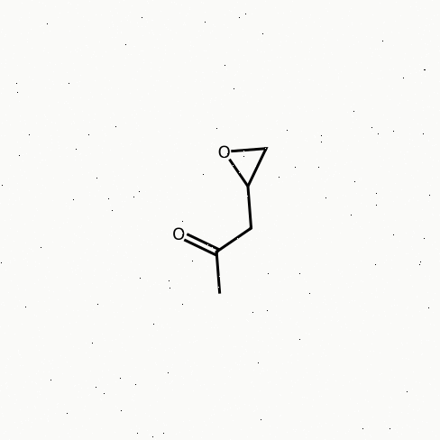 CC(=O)CC1CO1